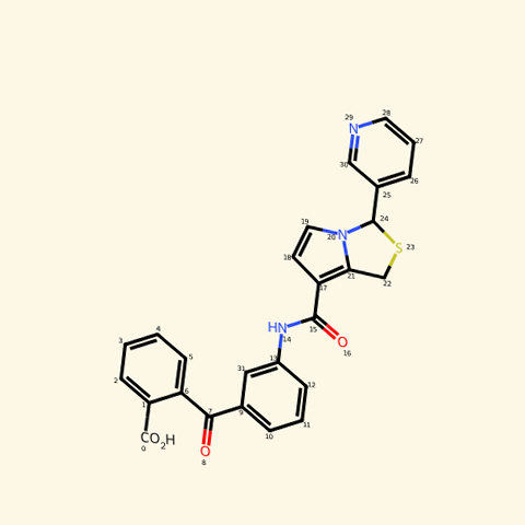 O=C(O)c1ccccc1C(=O)c1cccc(NC(=O)c2ccn3c2CSC3c2cccnc2)c1